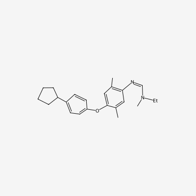 CCN(C)/C=N\c1cc(C)c(Oc2ccc(C3CCCC3)cc2)cc1C